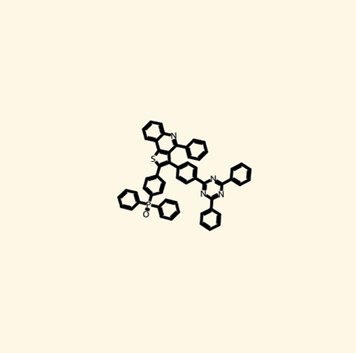 O=P(c1ccccc1)(c1ccccc1)c1ccc(-c2sc3c(c(-c4ccccc4)nc4ccccc43)c2-c2ccc(-c3nc(-c4ccccc4)nc(-c4ccccc4)n3)cc2)cc1